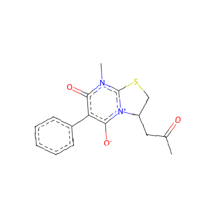 CC(=O)CC1CSc2n(C)c(=O)c(-c3ccccc3)c([O-])[n+]21